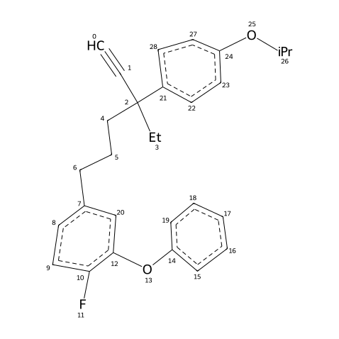 C#CC(CC)(CCCc1ccc(F)c(Oc2ccccc2)c1)c1ccc(OC(C)C)cc1